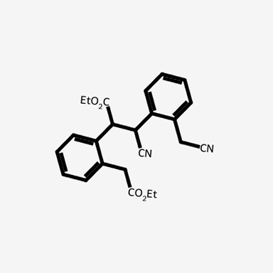 CCOC(=O)Cc1ccccc1C(C(=O)OCC)C(C#N)c1ccccc1CC#N